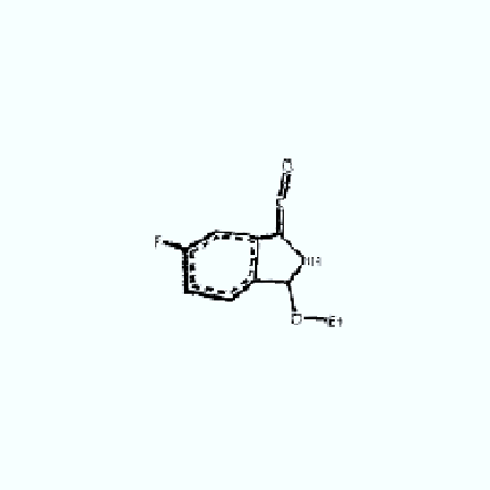 CCOC1NC(=C=O)c2cc(F)ccc21